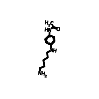 CC(=O)Nc1ccc(NCCCCCN)cc1